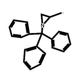 [CH2]C1CN1C(c1ccccc1)(c1ccccc1)c1ccccc1